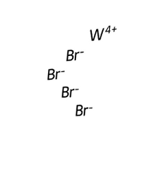 [Br-].[Br-].[Br-].[Br-].[W+4]